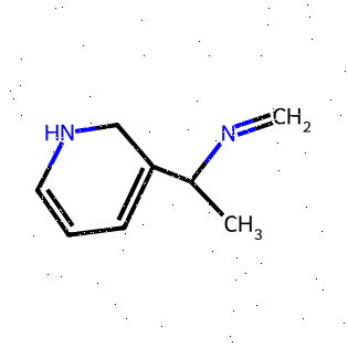 C=NC(C)C1=CC=CNC1